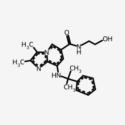 Cc1nc2c(NC(C)(C)c3ccccc3)cc(C(=O)NCCO)cn2c1C